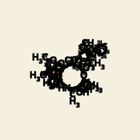 CCC1OC(=O)C(C)C(O[C@H]2C[C@@](C)(OC)[C@](O)(CN3CCSCC3)[C@H](C)O2)C(C)C(O[C@@H]2O[C@H](C)C[C@H](NC)[C@H]2Oc2ccccc2)C(C)(O)CC(C)CNC(C)C(O)C1(C)O